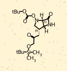 CC(C)(C)OC(=O)ON1C[C@@H](CC(=O)CO[Si](C)(C)C(C)(C)C)[C@H]2NC(=O)[C@H]21